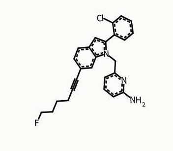 Nc1cccc(Cn2c(-c3ccccc3Cl)cc3ccc(C#CCCCCF)cc32)n1